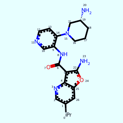 CC(C)c1cnc2c(C(=O)Nc3cnccc3N3CCC[C@@H](N)C3)c(N)oc2c1